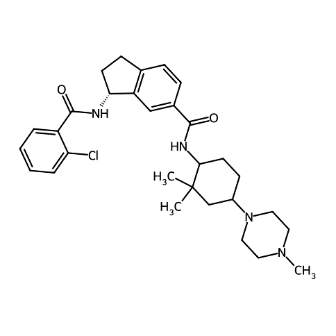 CN1CCN(C2CCC(NC(=O)c3ccc4c(c3)[C@H](NC(=O)c3ccccc3Cl)CC4)C(C)(C)C2)CC1